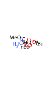 CCCCC(N)=Cc1nc(OC)ccc1[C@@H]1O[C@H](CO[Si](C)(C)C(C)(C)C)[C@H]2OC(C)(C)O[C@H]21